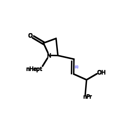 CCCCCCCN1C(=O)CC1/C=C/C(O)CCC